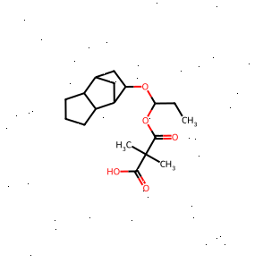 CCC(OC(=O)C(C)(C)C(=O)O)OC1CC2CC1C1CCCC21